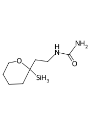 NC(=O)NCCC1([SiH3])CCCCO1